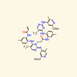 C=CC(=O)Nc1cc(C)ccc1Nc1c(C(F)(F)F)cn/c(=N\c2cc(OC)ncc2C)n1CCC(=O)Nc1cc(C)ccc1Nc1nc(Nc2cc(OC)ncc2C)ncc1C(F)(F)F